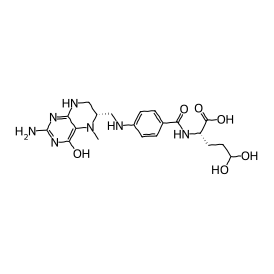 CN1c2c(O)nc(N)nc2NC[C@@H]1CNc1ccc(C(=O)N[C@@H](CCC(O)O)C(=O)O)cc1